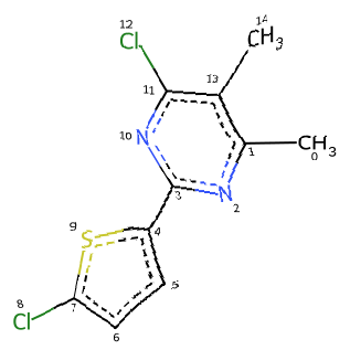 Cc1nc(-c2ccc(Cl)s2)nc(Cl)c1C